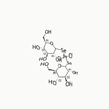 OC[C@H]1OC([Se][Pt]([Cl])([Cl])[Se]C2O[C@H](CO)[C@@H](O)[C@H](O)[C@H]2O)[C@H](O)[C@@H](O)[C@@H]1O